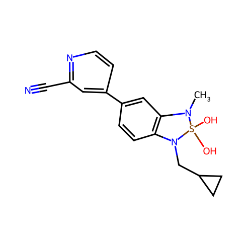 CN1c2cc(-c3ccnc(C#N)c3)ccc2N(CC2CC2)S1(O)O